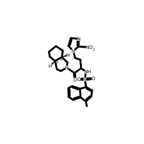 Cc1ccc(S(=O)(=O)NC(CCn2ccnc2[N+](=O)[O-])C(=O)N2CC[C@@H]3CCCC[C@@H]3C2)c2ccccc12